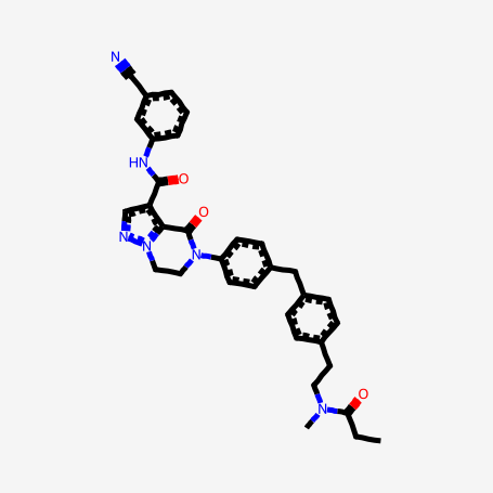 CCC(=O)N(C)CCc1ccc(Cc2ccc(N3CCn4ncc(C(=O)Nc5cccc(C#N)c5)c4C3=O)cc2)cc1